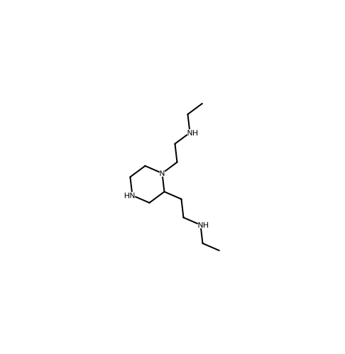 CCNCCC1CNCCN1CCNCC